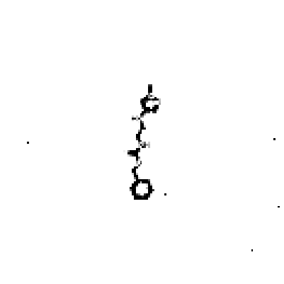 Cn1cc(NCCNC(=O)OCc2ccccc2)cn1